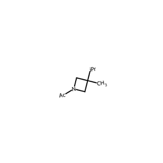 CC(=O)N1CC(C)(C(C)C)C1